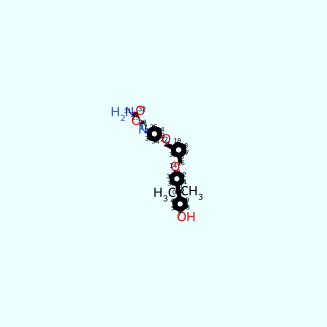 CC(C)(c1ccc(O)cc1)c1ccc(OCc2cccc(COc3ccc(N=COC(N)=O)cc3)c2)cc1